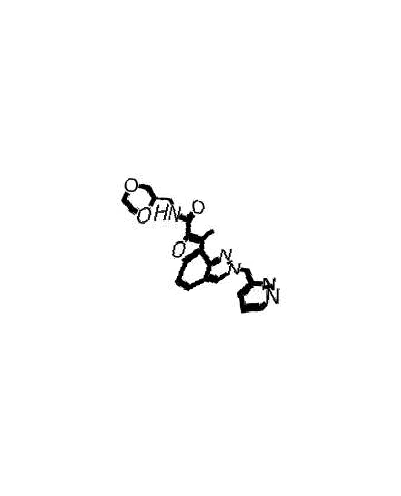 Cc1c(C(=O)NC[C@@H]2COCCO2)oc2c1-c1nn(Cc3cccnn3)cc1CC2